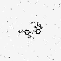 COC(=S)Nc1c(Br)cccc1COc1ccc(C)cc1C